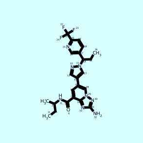 CCC(C)NC(=O)c1cc(-c2cnn(C(CC)c3ccc(C(F)(F)F)nc3)c2)cn2nc(N)nc12